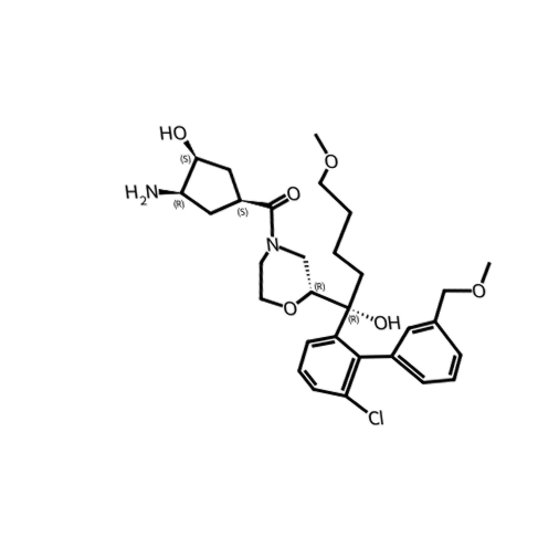 COCCCC[C@@](O)(c1cccc(Cl)c1-c1cccc(COC)c1)[C@H]1CN(C(=O)[C@H]2C[C@@H](N)[C@@H](O)C2)CCO1